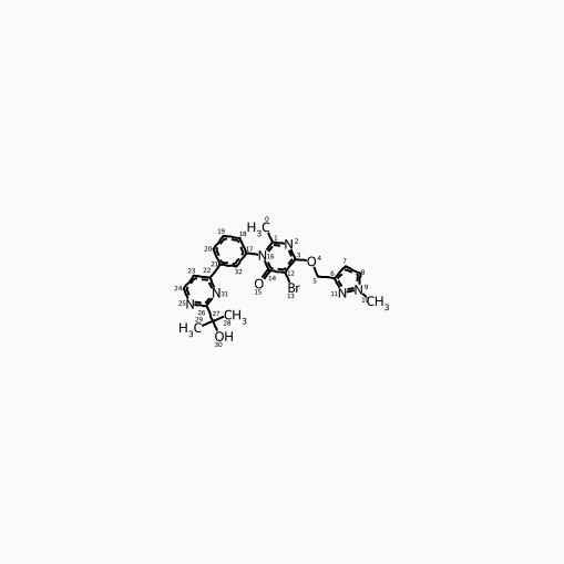 Cc1nc(OCc2ccn(C)n2)c(Br)c(=O)n1-c1cccc(-c2ccnc(C(C)(C)O)n2)c1